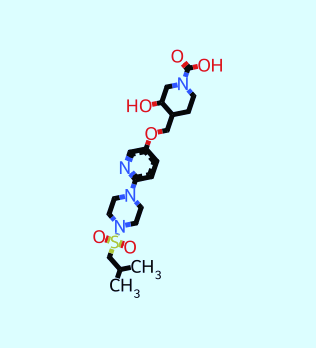 CC(C)CS(=O)(=O)N1CCN(c2ccc(OCC3CCN(C(=O)O)CC3O)cn2)CC1